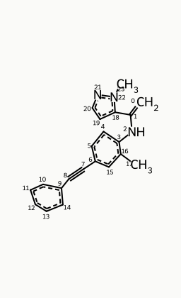 C=C(Nc1ccc(C#Cc2ccccc2)cc1C)c1ccnn1C